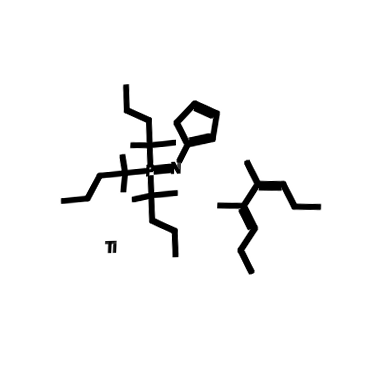 CCC=C(C)C(C)=CCC.CCCC(C)(C)P(=NC1=CC=CC1)(C(C)(C)CCC)C(C)(C)CCC.[Ti]